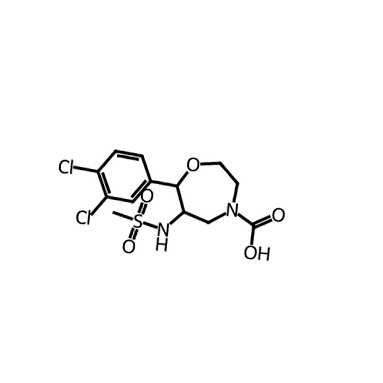 CS(=O)(=O)NC1CN(C(=O)O)CCOC1c1ccc(Cl)c(Cl)c1